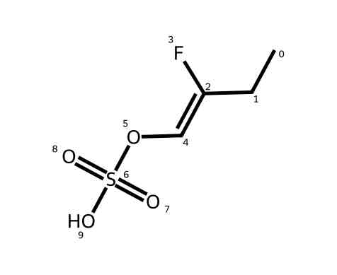 CCC(F)=COS(=O)(=O)O